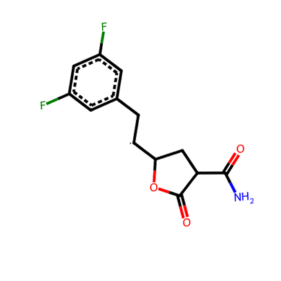 NC(=O)C1CC([CH]Cc2cc(F)cc(F)c2)OC1=O